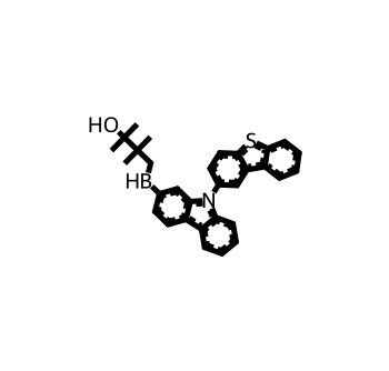 CC(C)(O)C(C)(C)CBc1ccc2c3ccccc3n(-c3ccc4sc5ccccc5c4c3)c2c1